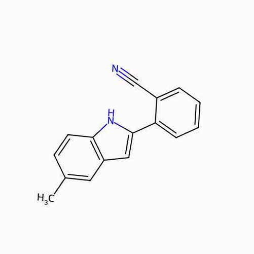 Cc1ccc2[nH]c(-c3ccccc3C#N)cc2c1